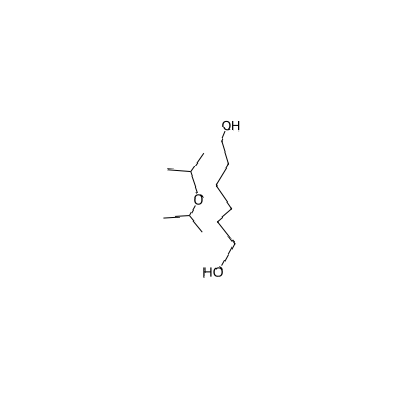 CC(C)OC(C)C.OCCCCCCO